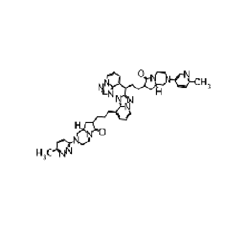 Cc1ccc(N2CCN3C(=O)C(CCC(c4nc5c(CCCC6C[C@H]7CN(c8ccc(C)nn8)CCN7C6=O)cccn5n4)c4cccn5ncnc45)C[C@H]3C2)cn1